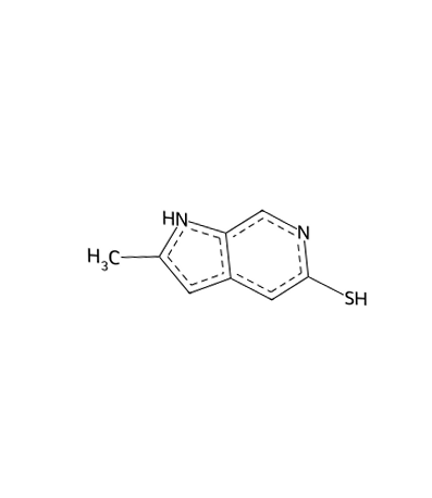 Cc1cc2cc(S)ncc2[nH]1